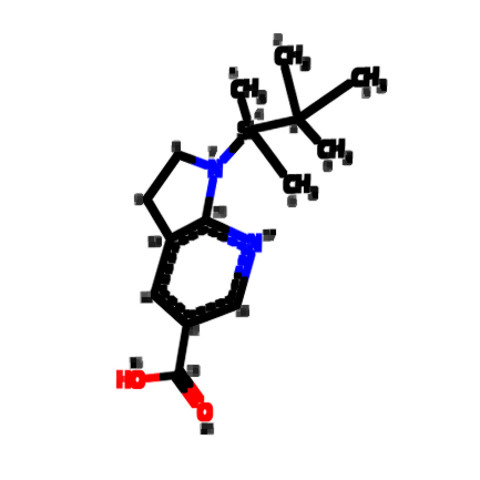 CC(C)(C)[Si](C)(C)N1CCc2cc(C(=O)O)cnc21